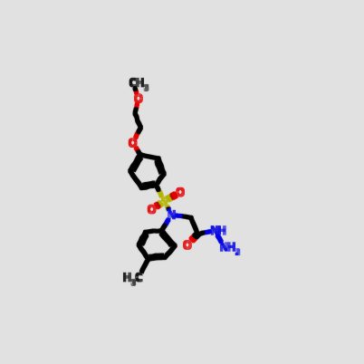 COCCOc1ccc(S(=O)(=O)N(CC(=O)NN)c2ccc(C)cc2)cc1